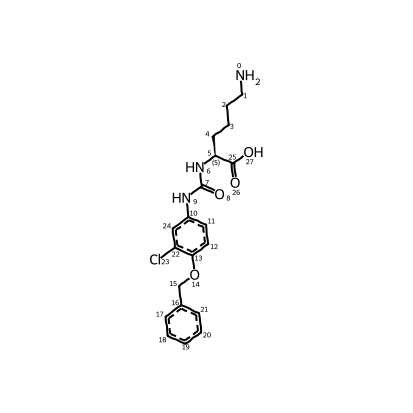 NCCCC[C@H](NC(=O)Nc1ccc(OCc2ccccc2)c(Cl)c1)C(=O)O